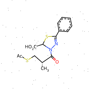 CC(=O)SC[C@@H](C)C(=O)N1N=C(c2ccccc2)SC1C(=O)O